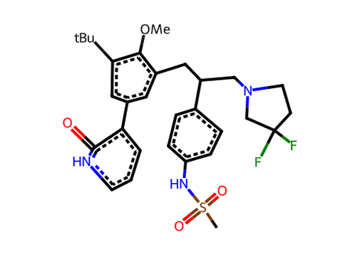 COc1c(CC(CN2CCC(F)(F)C2)c2ccc(NS(C)(=O)=O)cc2)cc(-c2ccc[nH]c2=O)cc1C(C)(C)C